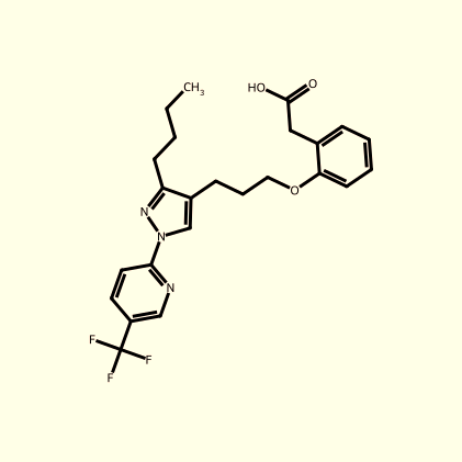 CCCCc1nn(-c2ccc(C(F)(F)F)cn2)cc1CCCOc1ccccc1CC(=O)O